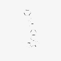 C=C1NC(=O)NC12Cc1ccc(NC(=O)NCc3ccccc3)cc1C2